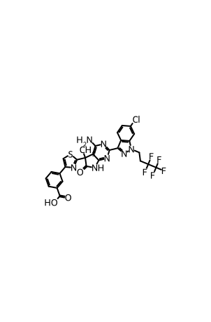 CC1(c2nc(-c3cccc(C(=O)O)c3)cs2)C(=O)Nc2nc(-c3nn(CCC(F)(F)C(F)(F)F)c4cc(Cl)ccc34)nc(N)c21